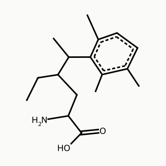 CCC(CC(N)C(=O)O)C(C)c1c(C)ccc(C)c1C